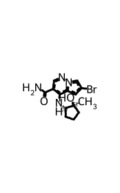 C[C@]1(O)CCC[C@@H]1Nc1c(C(N)=O)cnn2cc(Br)cc12